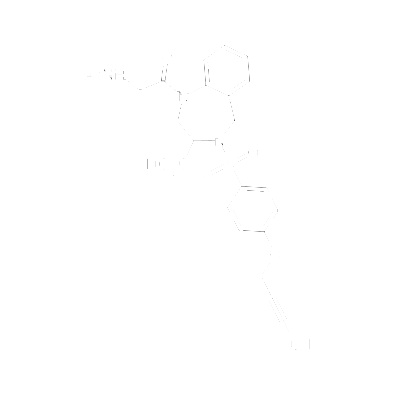 CC#CCOc1ccc(S(=O)(=O)N2Cc3ccccc3N(C(=O)CNC(C)=O)CC2C(=O)O)cc1